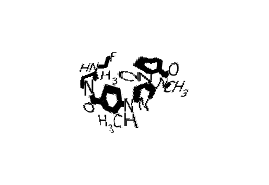 Cc1cc(C(=O)N2CC[C@@H](NCCF)C2)ccc1Nc1cc2c(cn1)N(C)C(=O)c1ccccc1N2C